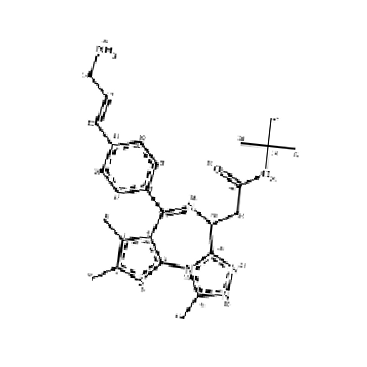 Cc1sc2c(c1C)C(c1ccc(/C=C/CN)cc1)=NC(CC(=O)OC(C)(C)C)c1nnc(C)n1-2